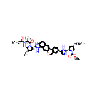 COC[C@H]1C[C@@H](c2ncc(-c3ccc4c(c3)COc3cc5c(ccc6nc([C@@H]7C[C@H](C)CN7C(=O)[C@@H](NC(O)OC)C(C)C)[nH]c65)cc3-4)[nH]2)N(C(=O)OC(C)(C)C)C1